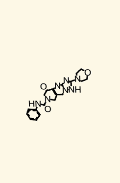 O=C1CN(C(=O)Nc2ccccc2)CC2=C1N=C1N=C(N3CCOCC3)NN1C2